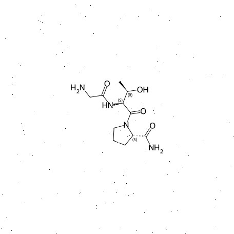 C[C@@H](O)[C@H](NC(=O)CN)C(=O)N1CCC[C@H]1C(N)=O